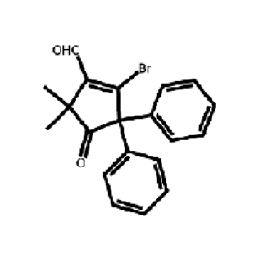 CC1(C)C(=O)C(c2ccccc2)(c2ccccc2)C(Br)=C1C=O